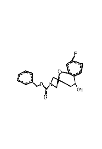 O=C(OCc1ccccc1)N1CC2(CC(O)c3ccc(F)cc3O2)C1